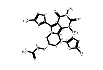 CC(=O)NC[C@@H]1Cn2c(-c3nc(C)cs3)c3c(=O)n(C)c(=O)n(C)c3c2[C@@H](c2ccc(Cl)o2)S1